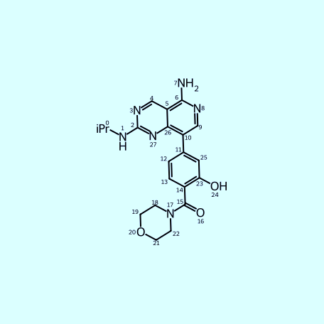 CC(C)Nc1ncc2c(N)ncc(-c3ccc(C(=O)N4CCOCC4)c(O)c3)c2n1